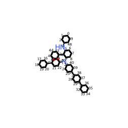 c1ccc(Nc2cccc(N(c3ccc(-c4ccccc4)cc3)c3ccc(-c4ccc(-c5ccccc5)cc4)cc3)c2-c2ccccc2)cc1